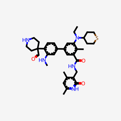 CCN(c1cc(-c2ccc(C3(C=O)CCNCC3)c(NC)c2)cc(C(=O)NCc2c(C)cc(C)[nH]c2=O)c1C)C1CCSCC1